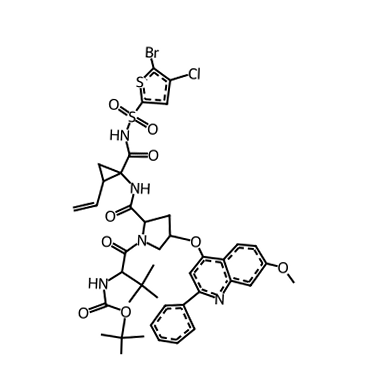 C=CC1CC1(NC(=O)C1CC(Oc2cc(-c3ccccc3)nc3cc(OC)ccc23)CN1C(=O)C(NC(=O)OC(C)(C)C)C(C)(C)C)C(=O)NS(=O)(=O)c1cc(Cl)c(Br)s1